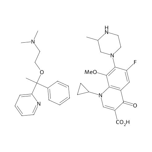 CN(C)CCOC(C)(c1ccccc1)c1ccccn1.COc1c(N2CCNC(C)C2)c(F)cc2c(=O)c(C(=O)O)cn(C3CC3)c12